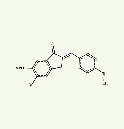 COc1cc2c(cc1Br)C/C(=C\c1ccc(SC(F)(F)F)cc1)C2=O